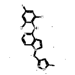 Cc1cc(Cn2ccc3c(Nc4c(Cl)cc(F)cc4Cl)nccc32)no1